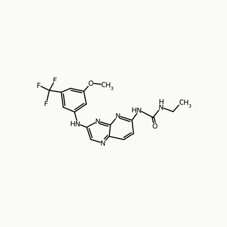 CCNC(=O)Nc1ccc2ncc(Nc3cc(OC)cc(C(F)(F)F)c3)nc2n1